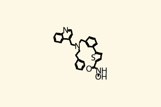 O=C(NO)c1ccc(-c2cccc(CN(CCc3ccccc3)Cc3ccnc4ccccc34)c2)s1